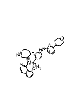 Cc1cccc2ccnc(N(C(=O)c3ccc(Nc4nccc(C5=CCOCC5)n4)cc3F)[C@@H]3CCCNC3)c12